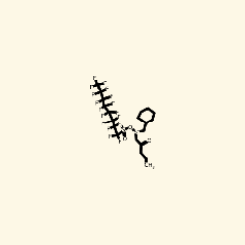 CCCC(=O)C[S+](CC1CCCCC1)OS(=O)(=O)C(F)(F)C(F)(F)C(F)(F)C(F)(F)C(F)(F)C(F)(F)C(F)(F)C(F)(F)F